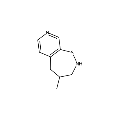 CC1CNSc2cnccc2C1